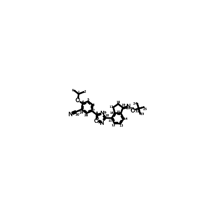 CC(C)Oc1ccc(-c2nc(-c3cccc4c3CC/C4=N/OC(C)(C)C)no2)cc1C#N